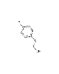 OCSc1ccc(F)cc1